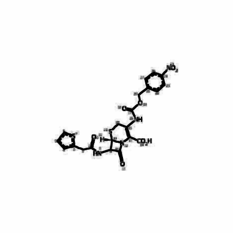 O=C(Cc1cccs1)NC1C(=O)N2C(C(=O)O)=C(NC(=O)OCc3ccc([N+](=O)[O-])cc3)CS[C@@H]12